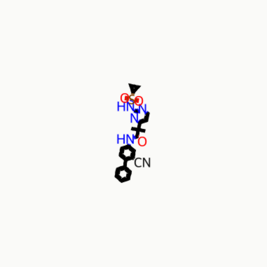 CC(C)(C(=O)Nc1ccc(-c2ccccc2)c(C#N)c1)c1ccnc(NS(=O)(=O)C2CC2)n1